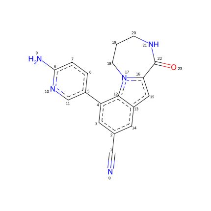 N#Cc1cc(-c2ccc(N)nc2)c2c(c1)cc1n2CCCNC1=O